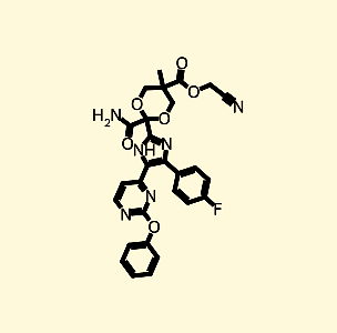 CC1(C(=O)OCC#N)COC(C(N)=O)(c2nc(-c3ccc(F)cc3)c(-c3ccnc(Oc4ccccc4)n3)[nH]2)OC1